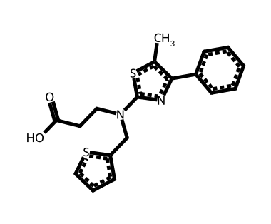 Cc1sc(N(CCC(=O)O)Cc2cccs2)nc1-c1ccccc1